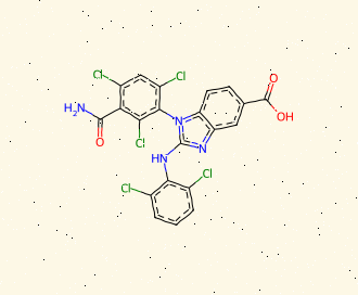 NC(=O)c1c(Cl)cc(Cl)c(-n2c(Nc3c(Cl)cccc3Cl)nc3cc(C(=O)O)ccc32)c1Cl